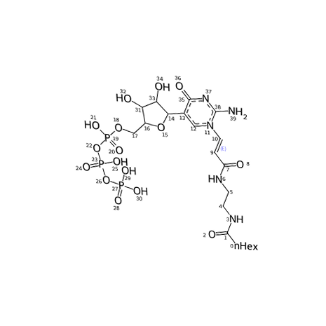 CCCCCCC(=O)NCCNC(=O)/C=C/n1cc(C2OC(COP(=O)(O)OP(=O)(O)OP(=O)(O)O)C(O)C2O)c(=O)nc1N